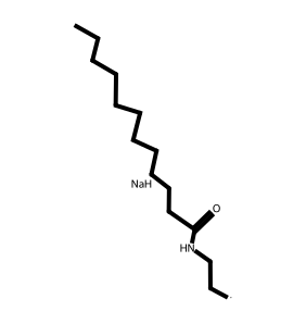 [CH2]CCNC(=O)CCCCCCCCCCC.[NaH]